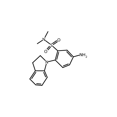 CN(C)S(=O)(=O)c1cc(N)ccc1N1CCc2ccccc21